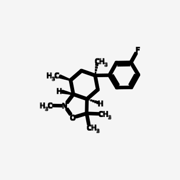 C[C@H]1C[C@@](C)(c2cccc(F)c2)C[C@@H]2[C@@H]1N(C)OC2(C)C